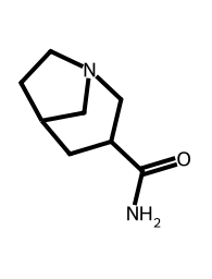 NC(=O)C1CC2CCN(C2)C1